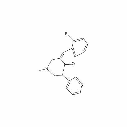 CN1CC(=Cc2ccccc2F)C(=O)C(c2cccnc2)C1